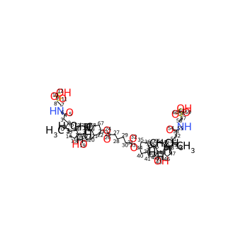 C[C@H](CCC(=O)NCCS(=O)(=O)O)[C@H]1CC[C@H]2[C@@H]3[C@@H](O)CC4C[C@H](OC(=O)CCCCC(=O)O[C@@H]5CC[C@@]6(C)C(C5)C[C@H](O)[C@H]5[C@@H]7CC[C@H]([C@H](C)CCC(=O)NCCS(=O)(=O)O)[C@@]7(C)CC[C@@H]56)CC[C@]4(C)[C@H]3CC[C@]12C